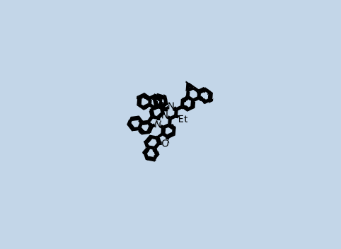 CCC1C(c2ccc3c(c2)C2CC2c2ccccc2-3)=NC(c2ccc3ccccc3c2)=NC1c1ccc2oc3c4ccccc4ccc3c2c1-n1c2cc3ccccc3cc2c2c3ccccc3ccc21